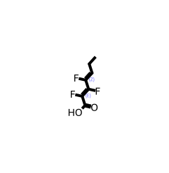 CC/C=C(F)/C(F)=C(\F)C(=O)O